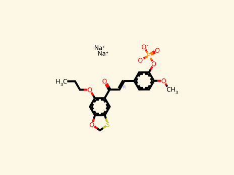 CCCOc1cc2c(cc1C(=O)/C=C/c1ccc(OC)c(OP(=O)([O-])[O-])c1)SCO2.[Na+].[Na+]